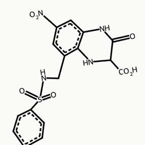 O=C(O)C1Nc2c(CNS(=O)(=O)c3ccccc3)cc([N+](=O)[O-])cc2NC1=O